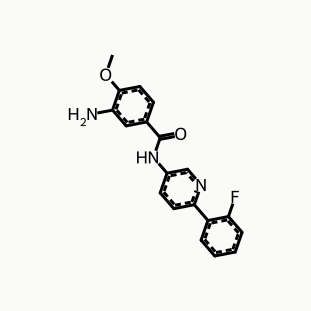 COc1ccc(C(=O)Nc2ccc(-c3ccccc3F)nc2)cc1N